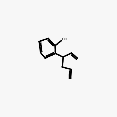 C=CC[C](C=C)c1ccccc1O